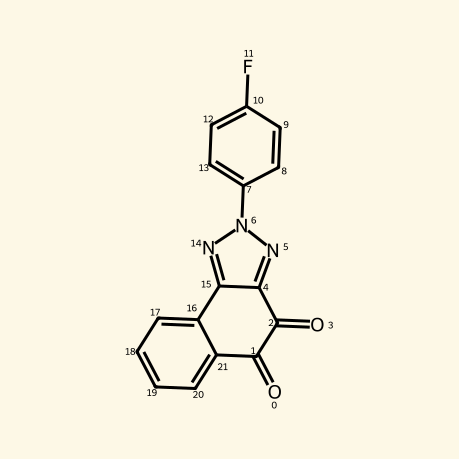 O=C1C(=O)c2nn(-c3ccc(F)cc3)nc2-c2ccccc21